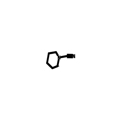 N#CN1[CH]CCCC1